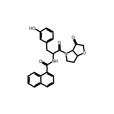 O=C(NC(Cc1cccc(O)c1)C(=O)N1CCC2OCC(=O)C21)c1cccc2ccccc12